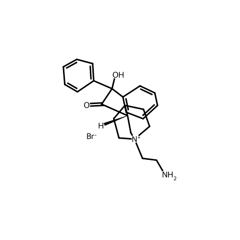 NCC[N+]12CCC(CC1)[C@@H](C(=O)C(O)(c1ccccc1)c1ccccc1)C2.[Br-]